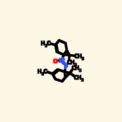 CC1=CC2(N=[N+]([O-])C34C=C(C)CCC3C4(C)C)C(CC1)C2(C)C